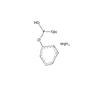 OP(O)Oc1ccccc1.[MgH2]